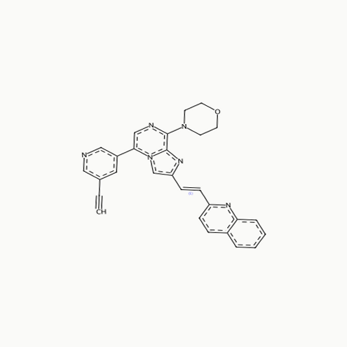 C#Cc1cncc(-c2cnc(N3CCOCC3)c3nc(/C=C/c4ccc5ccccc5n4)cn23)c1